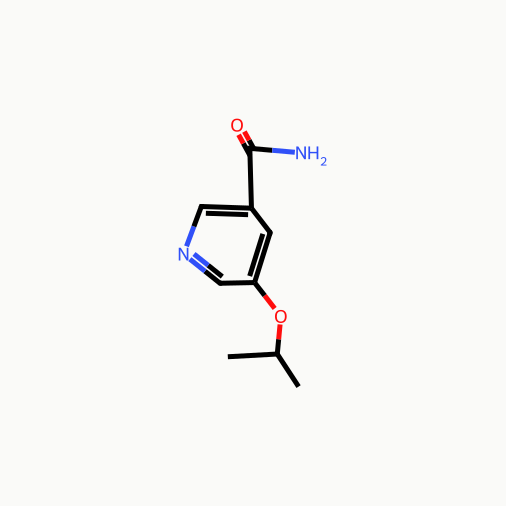 CC(C)Oc1cncc(C(N)=O)c1